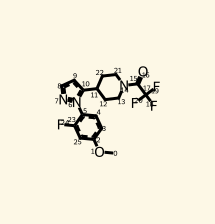 COc1ccc(-n2nccc2C2CCN(C(=O)C(F)(F)F)CC2)c(F)c1